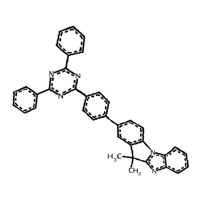 CC1(C)c2cc(-c3ccc(-c4nc(-c5ccccc5)nc(-c5ccccc5)n4)cc3)ccc2-n2c1nc1ccccc12